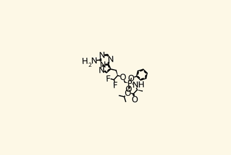 CC(C)OC(=O)[C@H](C)N[P@@](=O)(CO[C@H](Cc1cnn2c(N)ncnc12)C(F)F)Oc1ccccc1